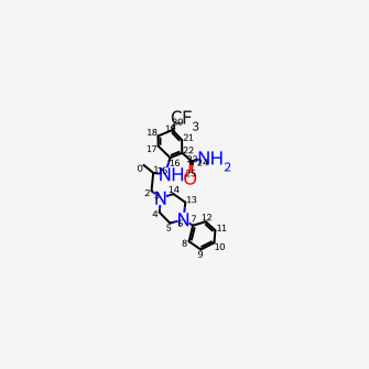 CC(CN1CCN(c2ccccc2)CC1)Nc1ccc(C(F)(F)F)cc1C(N)=O